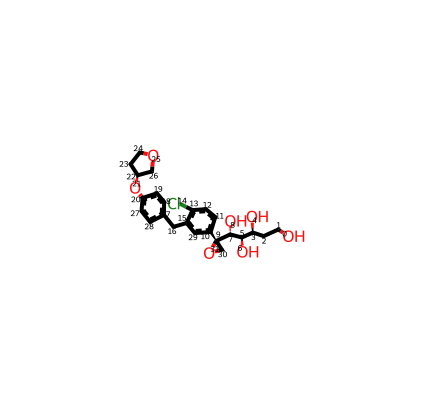 OCC[C@H](O)[C@@H](O)[C@@H](O)[C@]1(c2ccc(Cl)c(Cc3ccc(O[C@H]4CCOC4)cc3)c2)CO1